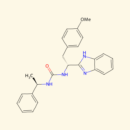 COc1ccc(C[C@@H](NC(=O)N[C@H](C)c2ccccc2)c2nc3ccccc3[nH]2)cc1